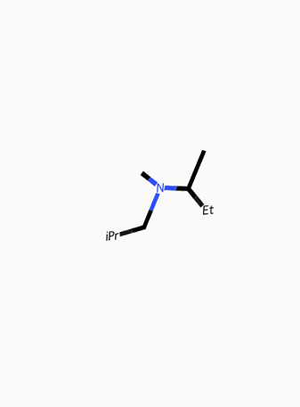 CCC(C)N(C)CC(C)C